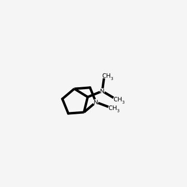 CN(C)C1C2CCC1N(C)C2